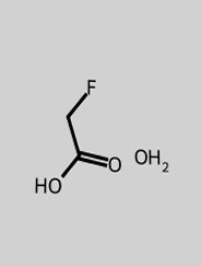 O.O=C(O)CF